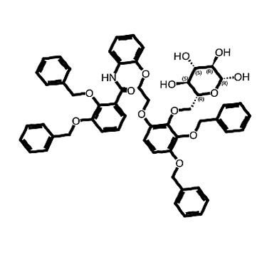 O=C(Nc1ccccc1OCCOc1ccc(OCc2ccccc2)c(OCc2ccccc2)c1OC[C@H]1O[C@@H](O)[C@H](O)[C@@H](O)[C@@H]1O)c1cccc(OCc2ccccc2)c1OCc1ccccc1